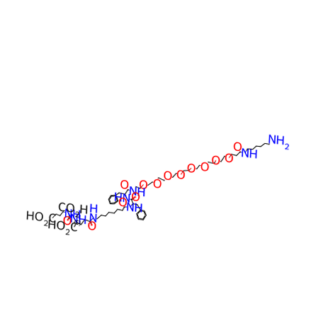 NCCCCCCNC(=O)CCOCCOCCOCCOCCOCCOCCOCCOCCNC(=O)C(Cc1ccccc1)NC(=O)C(Cc1ccccc1)NC(=O)CCCCCCCNC(=O)CC[C@H](NC(=O)NC(CCC(=O)O)C(=O)O)C(=O)O